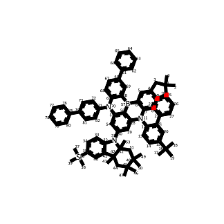 CC1(C)Cc2cc3c(cc2C1)N(c1ccc(C(C)(C)C)cc1-c1ccccc1)c1cc(N2c4ccc([Si](C)(C)C)cc4C4(C)CC(C)(C)C(C)(C)CC24C)cc2c1B3c1cc(-c3ccccc3)ccc1N2c1ccc(-c2ccccc2)cc1